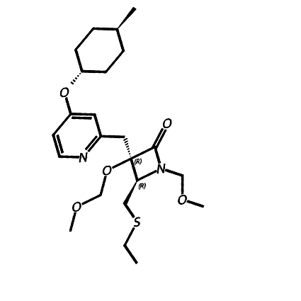 CCSC[C@@H]1N(COC)C(=O)[C@]1(Cc1cc(O[C@H]2CC[C@H](C)CC2)ccn1)OCOC